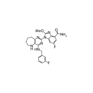 COc1nc2c(C(N)=O)cc(F)cc2n1-c1nc2c(c(NCc3cccc(F)c3)n1)NCCCC2